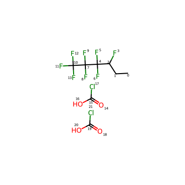 CCC(F)C(F)(F)C(F)(F)C(F)(F)F.O=C(O)Cl.O=C(O)Cl